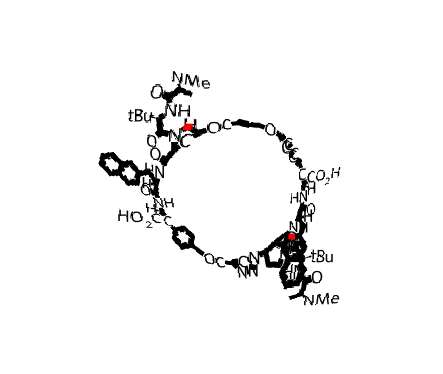 CN[C@@H](C)C(=O)N[C@H](C(=O)N1C[C@@H]2CC1C(=O)N[C@@H](Cc1ccc3ccccc3c1)C(=O)N[C@H](C(=O)O)Cc1ccc(cc1)OCc1cn(nn1)C1CCN(C(=O)[C@@H](NC(=O)[C@H](C)NC)C(C)(C)C)[C@@H]1C(=O)N[C@@H](Cc1ccc3ccccc3c1)C(=O)N[C@H](C(=O)O)Cc1ccc(cc1)OC/C=C/CO2)C(C)(C)C